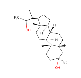 CC[C@]1(O)CC[C@@]2(C)[C@H](CC[C@@H]3[C@@H]2CC[C@]2(C)[C@@H](C(C)C(O)C(F)(F)F)CC[C@@H]32)C1